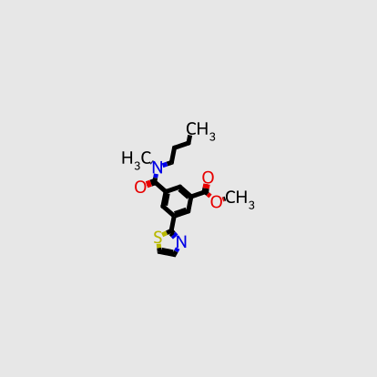 CCCCN(C)C(=O)c1cc(C(=O)OC)cc(-c2nccs2)c1